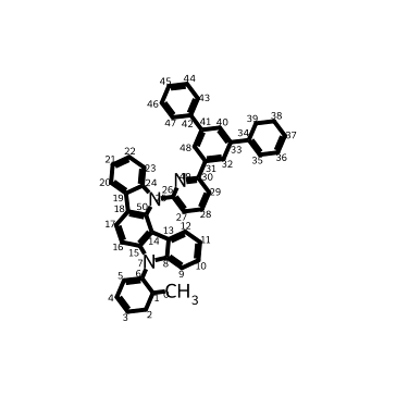 CC1CC=CC=C1n1c2ccccc2c2c1ccc1c3ccccc3n(-c3cccc(-c4cc(C5=CC=CCC5)cc(-c5ccccc5)c4)n3)c12